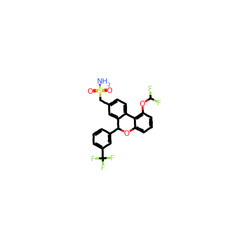 NS(=O)(=O)Cc1ccc2c(c1)C(c1cccc(C(F)(F)F)c1)Oc1cccc(OC(F)F)c1-2